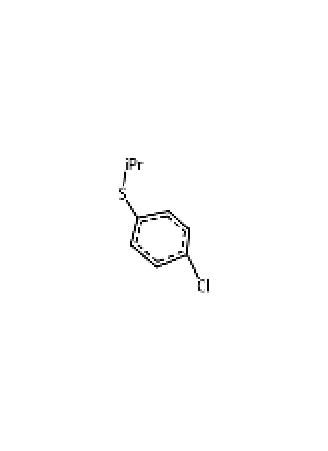 [CH2]C(C)Sc1ccc(Cl)cc1